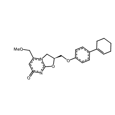 COCc1cc(=O)nc2n1C[C@@H](COc1ccc(C3=CCCCC3)cc1)O2